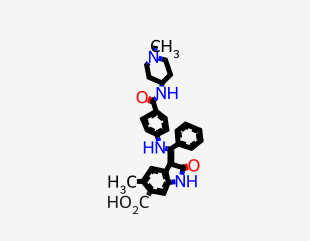 Cc1cc2c(cc1C(=O)O)NC(=O)C2=C(Nc1ccc(C(=O)NC2CCN(C)CC2)cc1)c1ccccc1